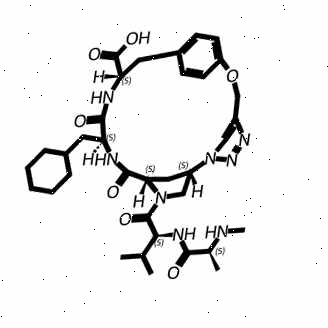 CN[C@@H](C)C(=O)N[C@H](C(=O)N1C[C@@H]2C[C@H]1C(=O)N[C@@H](CC1CCCCC1)C(=O)N[C@H](C(=O)O)Cc1ccc(cc1)OCc1cn2nn1)C(C)C